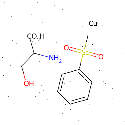 CS(=O)(=O)c1ccccc1.NC(CO)C(=O)O.[Cu]